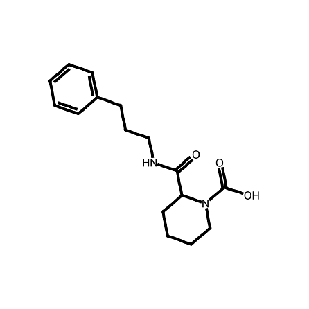 O=C(NCCCc1ccccc1)C1CCCCN1C(=O)O